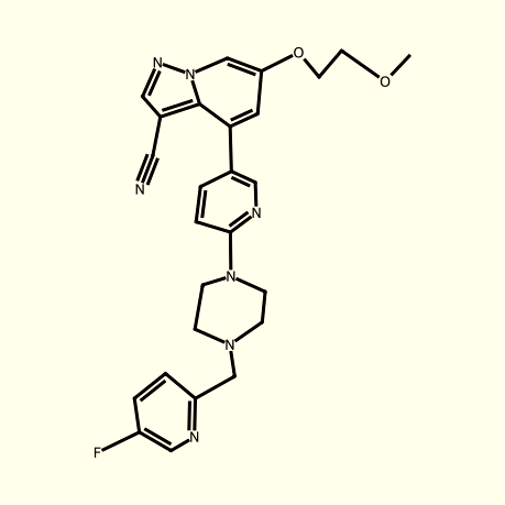 COCCOc1cc(-c2ccc(N3CCN(Cc4ccc(F)cn4)CC3)nc2)c2c(C#N)cnn2c1